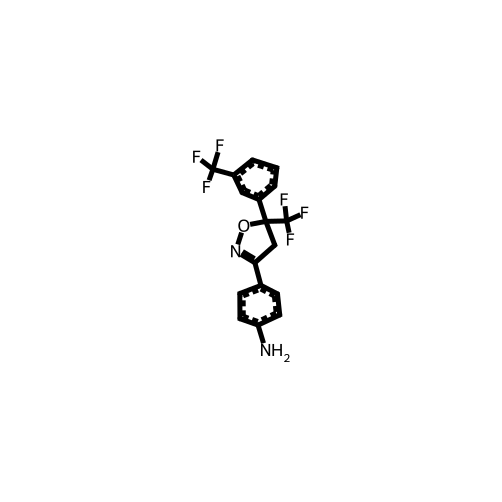 Nc1ccc(C2=NOC(c3cccc(C(F)(F)F)c3)(C(F)(F)F)C2)cc1